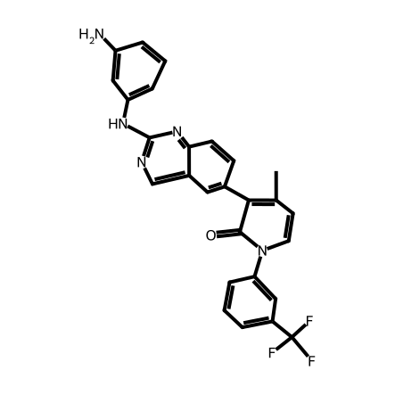 Cc1ccn(-c2cccc(C(F)(F)F)c2)c(=O)c1-c1ccc2nc(Nc3cccc(N)c3)ncc2c1